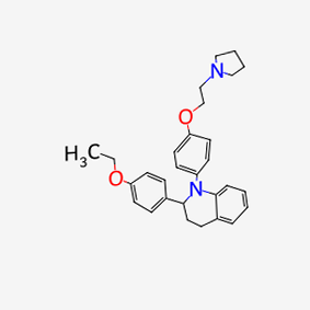 CCOc1ccc(C2CCc3ccccc3N2c2ccc(OCCN3CCCC3)cc2)cc1